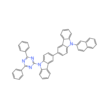 c1ccc(-c2nc(-c3ccccc3)nc(-n3c4ccccc4c4cc(-c5ccc6c(c5)c5ccccc5n6-c5ccc6ccccc6c5)ccc43)n2)cc1